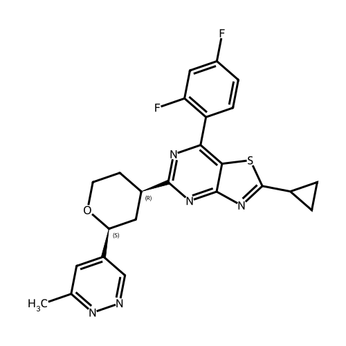 Cc1cc([C@@H]2C[C@H](c3nc(-c4ccc(F)cc4F)c4sc(C5CC5)nc4n3)CCO2)cnn1